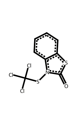 O=c1sc2ccccc2n1SC(Cl)(Cl)Cl